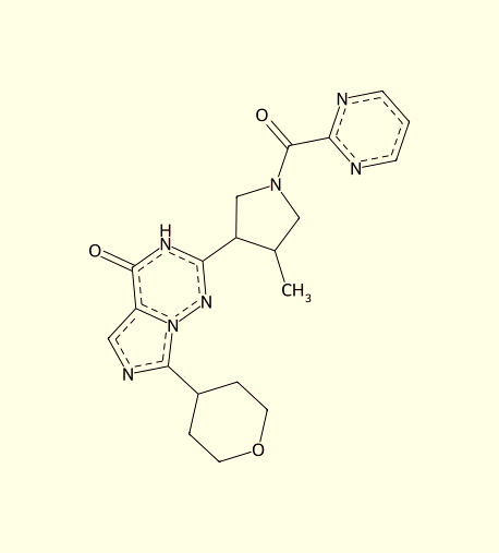 CC1CN(C(=O)c2ncccn2)CC1c1nn2c(C3CCOCC3)ncc2c(=O)[nH]1